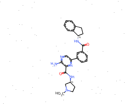 Nc1ncc(-c2cccc(C(=O)N[C@H]3CCc4ccccc43)c2)nc1C(=O)N[C@H]1CCN(C(=O)O)C1